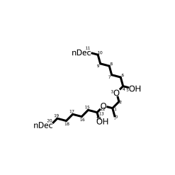 [CH2]C(COC(O)CCCCCCCCCCCCCCC)OC(O)CCCCCCCCCCCCCCC